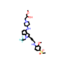 CCS(=O)(=O)c1ccc(NCC#Cc2cc3c(NC4CCN(CC(O)COC)CC4)cccc3n2CC(F)(F)F)c(OC)c1